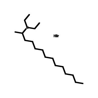 Br.CCCCCCCCCCCCC(C)N(CC)CC